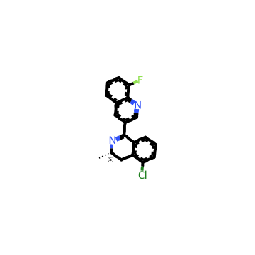 C[C@H]1Cc2c(Cl)cccc2C(c2cnc3c(F)cccc3c2)=N1